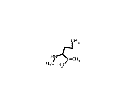 CCCC(NC)P(C)C